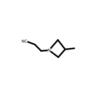 CC1CN(CCC#N)C1